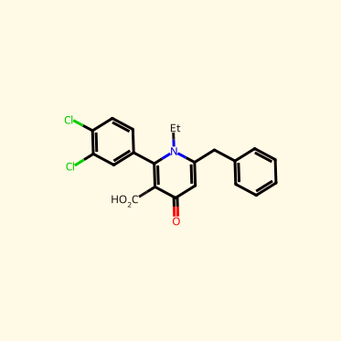 CCn1c(Cc2ccccc2)cc(=O)c(C(=O)O)c1-c1ccc(Cl)c(Cl)c1